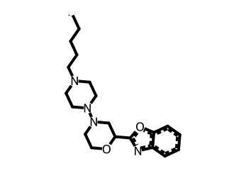 [CH2]CCCCN1CCN(N2CCOC(c3nc4ccccc4o3)C2)CC1